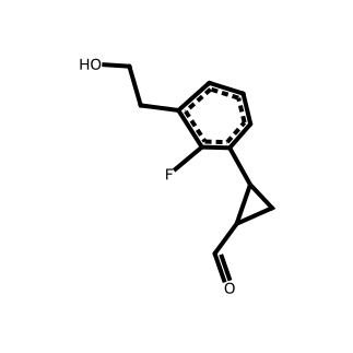 O=CC1CC1c1cccc(CCO)c1F